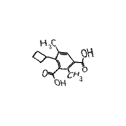 Cc1cc(C(=O)O)c(C)c(C(=O)O)c1C1CCC1